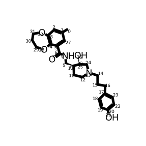 Cc1cc2c(c(C(=O)NC[C@@H]3CCN(CCCc4ccc(O)cc4)C[C@H]3O)c1)OCCCO2